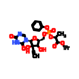 C#C[C@@]1(O)C(O)[C@@H](CO[P@](=O)(Oc2ccccc2)O[C@@H](C)C(=O)OC(C)C)O[C@H]1n1cnc(=O)[nH]c1=O